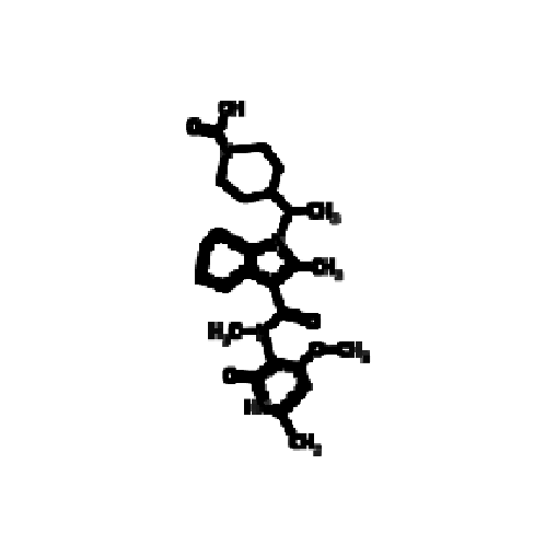 COc1cc(C)[nH]c(=O)c1N(C)C(=O)c1c(C)n(C(C)C2CCN(C(=O)O)CC2)c2ccccc12